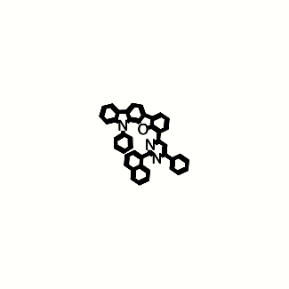 c1ccc(-c2cc(-c3cccc4c3oc3c4ccc4c5ccccc5n(-c5ccccc5)c43)nc(-c3cccc4ccccc34)n2)cc1